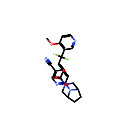 COc1ccncc1C(F)(F)/C=C/C(=O)N1CC2CCC(C1)N2c1ccc(C#N)cn1